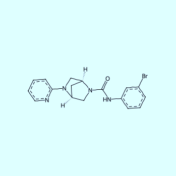 O=C(Nc1cccc(Br)c1)N1C[C@@H]2C[C@H]1CN2c1ccccn1